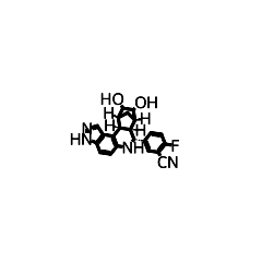 N#Cc1cc([C@@H]2Nc3ccc4[nH]ncc4c3[C@@H]3[C@H]2[C@@H]2C[C@H]3C(O)C2O)ccc1F